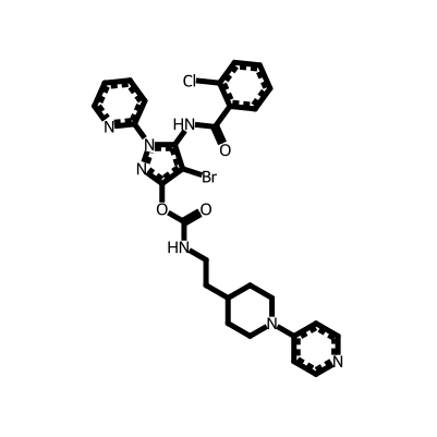 O=C(NCCC1CCN(c2ccncc2)CC1)Oc1nn(-c2ccccn2)c(NC(=O)c2ccccc2Cl)c1Br